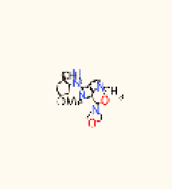 COc1ccc(C)c(Nc2ncc(C(=O)N3CCOCC3)c3c2ccn3C)c1